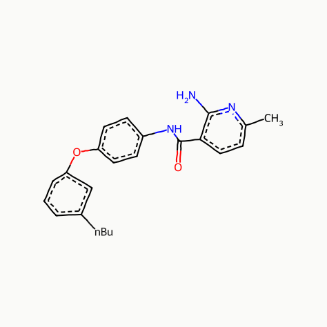 CCCCc1cccc(Oc2ccc(NC(=O)c3ccc(C)nc3N)cc2)c1